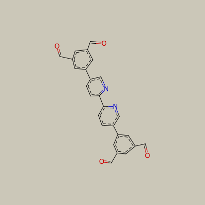 O=Cc1cc(C=O)cc(-c2ccc(-c3ccc(-c4cc(C=O)cc(C=O)c4)cn3)nc2)c1